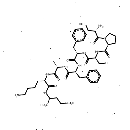 C[C@H](NC(=O)[C@H](Cc1ccccc1)NC(=O)[C@H](Cc1ccccc1)NC(=O)[C@H](CO)NC(=O)[C@@H]1CCCN1C(=O)[C@@H](N)CC(=O)O)C(=O)N[C@@H](CCCCN)C(=O)N[C@@H](CCC(=O)O)C(=O)O